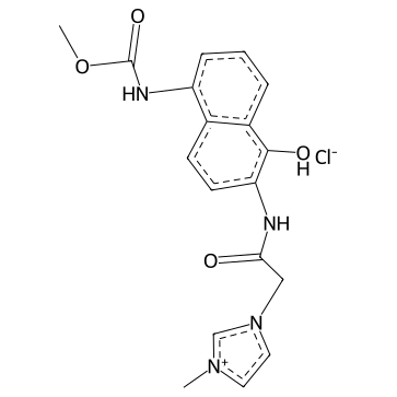 COC(=O)Nc1cccc2c(O)c(NC(=O)Cn3cc[n+](C)c3)ccc12.[Cl-]